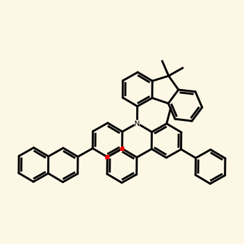 Cc1cc(-c2ccccc2)cc(-c2ccccc2)c1N(c1ccc(-c2ccc3ccccc3c2)cc1)c1cccc2c1-c1ccccc1C2(C)C